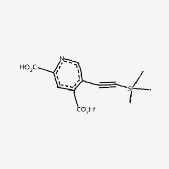 CCOC(=O)c1cc(C(=O)O)ncc1C#C[Si](C)(C)C